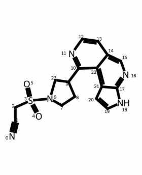 N#CCS(=O)(=O)N1CCC(c2nccc3cnc4[nH]ccc4c23)C1